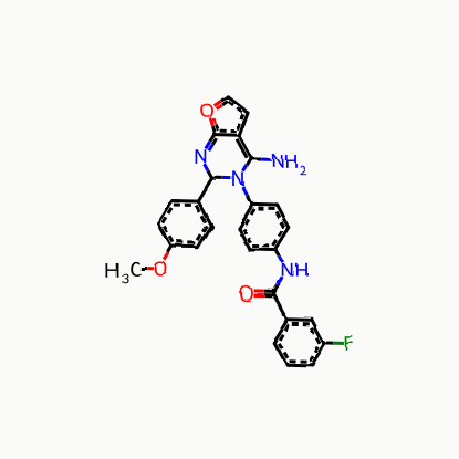 COc1ccc(C2N=c3occc3=C(N)N2c2ccc(NC(=O)c3cccc(F)c3)cc2)cc1